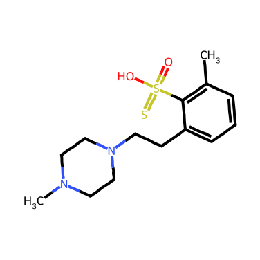 Cc1cccc(CCN2CCN(C)CC2)c1S(=O)(O)=S